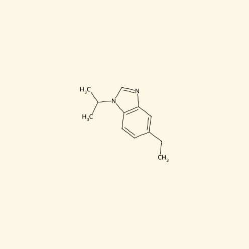 CCc1ccc2c(c1)ncn2C(C)C